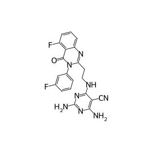 N#Cc1c(N)nc(N)nc1NCCc1nc2cccc(F)c2c(=O)n1-c1cccc(F)c1